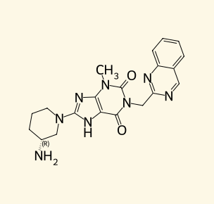 Cn1c(=O)n(Cc2ncc3ccccc3n2)c(=O)c2[nH]c(N3CCC[C@@H](N)C3)nc21